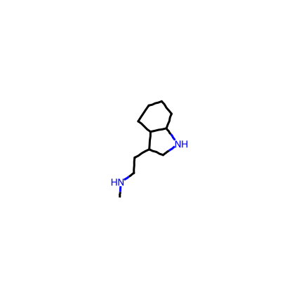 CNCCC1CNC2CCCCC12